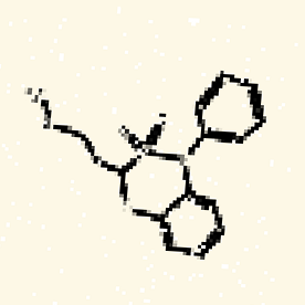 CNCCC1Oc2ccccc2N(c2ccccc2)S1(=O)=O